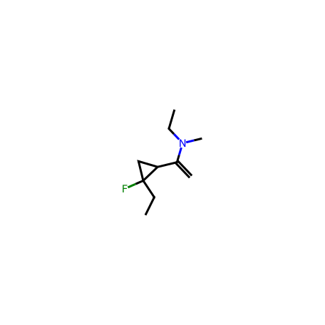 C=C(C1CC1(F)CC)N(C)CC